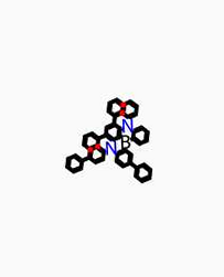 c1ccc(-c2ccc(N3c4ccc(-c5ccccc5)cc4B4c5ccccc5N(c5ccccc5)c5c(-c6ccccc6)cc(-c6ccccc6)c3c54)cc2)cc1